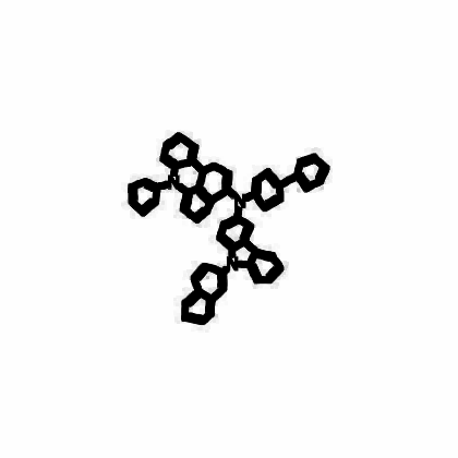 C1=C(N(c2ccc(-c3ccccc3)cc2)c2ccc3c(c2)c2ccccc2n3-c2ccc3ccccc3c2)c2cccc3c2C(C1)c1ccccc1N3c1ccccc1